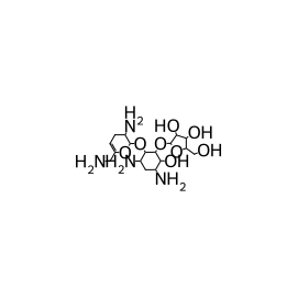 NCC1=CCC(N)C(OC2C(N)CC(N)C(O)C2OC2OC(CO)C(O)C2O)O1